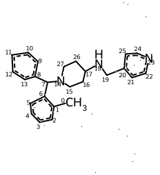 Cc1ccccc1C(c1ccccc1)N1CCC(NCc2ccncc2)CC1